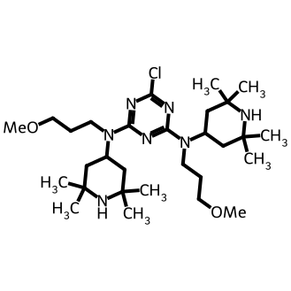 COCCCN(c1nc(Cl)nc(N(CCCOC)C2CC(C)(C)NC(C)(C)C2)n1)C1CC(C)(C)NC(C)(C)C1